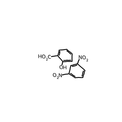 O=C(O)c1ccccc1O.O=[N+]([O-])c1cccc([N+](=O)[O-])c1